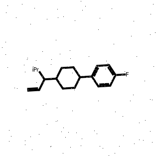 C=CC(C(C)C)C1CCC(c2ccc(F)cc2)CC1